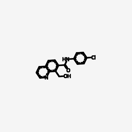 O=C(Nc1ccc(Cl)cc1)c1ccc2cccnc2c1CO